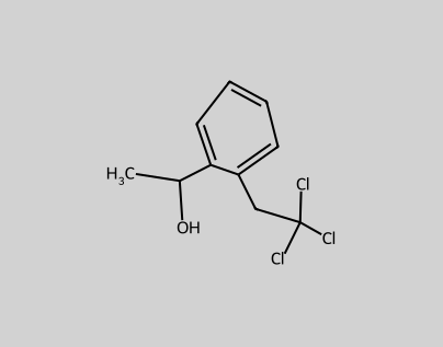 CC(O)c1ccccc1CC(Cl)(Cl)Cl